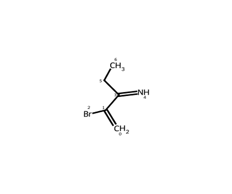 C=C(Br)C(=N)CC